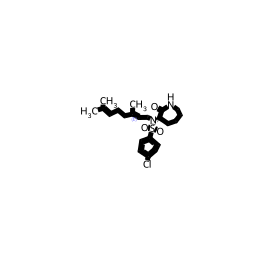 CC(C)=CCC/C(C)=C/CN([C@@H]1CCCCNC1=O)S(=O)(=O)c1ccc(Cl)cc1